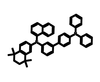 CC1(C)CCC(C)(C)c2cc(N(c3cccc(-c4ccc(N(c5ccccc5)c5ccccc5)cc4)c3)c3cccc4ccccc34)ccc21